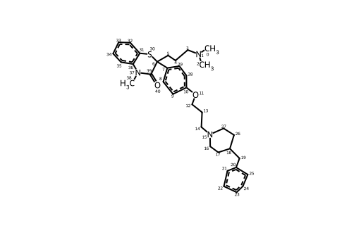 CN(C)CCCC1(c2ccc(OCCCN3CCC(Cc4ccccc4)CC3)cc2)Sc2ccccc2N(C)C1=O